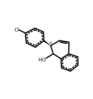 OC1c2ccccc2C=C[C@@H]1c1ccc(Cl)cc1